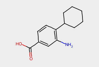 Nc1cc(C(=O)O)ccc1C1CCCCC1